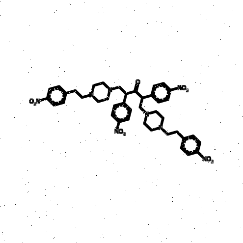 O=C(C(CN1CCN(CCc2ccc([N+](=O)[O-])cc2)CC1)c1ccc([N+](=O)[O-])cc1)C(CN1CCN(CCc2ccc([N+](=O)[O-])cc2)CC1)c1ccc([N+](=O)[O-])cc1